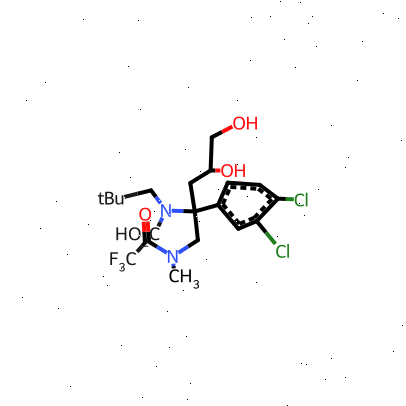 CN(CC(CC(O)CO)(c1ccc(Cl)c(Cl)c1)N(CC(C)(C)C)C(=O)O)C(=O)C(F)(F)F